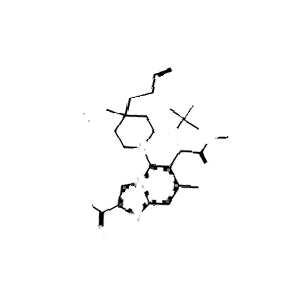 C=CCCC1(C)CCN(c2c([C@H](OC(C)(C)C)C(=O)OC)c(C)cc3nc(C(=O)[O-])cn23)CC1.[Na+]